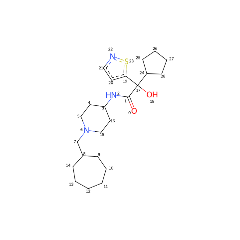 O=C(NC1CCN(CC2CCCCCC2)CC1)C(O)(c1ccns1)C1CCCC1